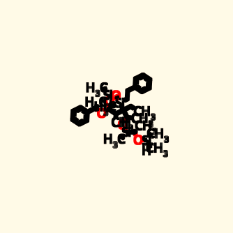 CCC(C(C)O[SiH](C)C(C)O[SiH](C)C)(C(C)C(=O)OCc1ccccc1)[Si](C)(CCc1ccccc1)O[SiH](C)C